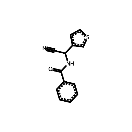 N#CC(NC(=O)c1ccccc1)c1ccsc1